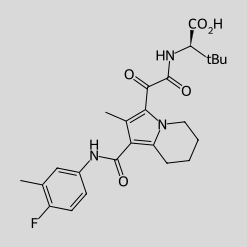 Cc1cc(NC(=O)c2c(C)c(C(=O)C(=O)N[C@@H](C(=O)O)C(C)(C)C)n3c2CCCC3)ccc1F